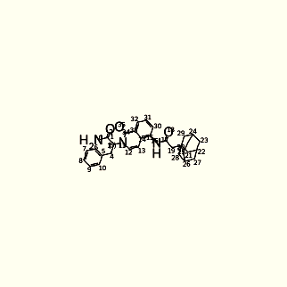 NC(=O)[C@H](Cc1ccccc1)n1ccc2c(NC(=O)CC34CC5CC(CC(C5)C3)C4)cccc2c1=O